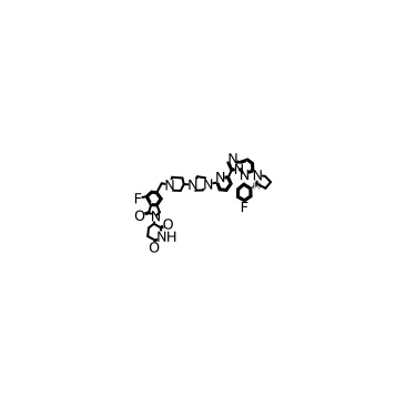 O=C1CCC(N2Cc3cc(CN4CCC(N5CCN(c6cccc(-c7cnc8ccc(N9CCC[C@@H]9c9cccc(F)c9)nn78)n6)CC5)CC4)cc(F)c3C2=O)C(=O)N1